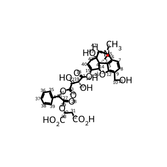 CN1CC[C@]23c4c5ccc(CO)c4O[C@H]2C(OC(=O)[C@H](O)[C@@H](O)C(=O)O[C@H](C(=O)O[C@H](CC(=O)O)C(=O)O)c2ccccc2)=CC[C@@]3(O)[C@H]1C5